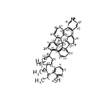 C/C=C(/c1ccccc1S)N(C)C(C)/C=C\C(=C/C)c1ccc2c(c1)C1(C3=C(C=C=C=C3)c3ccccc31)C1=C2C=CCC(c2cccnc2)=C1